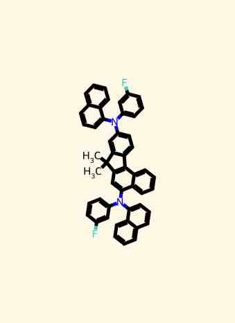 CC1(C)c2cc(N(c3cccc(F)c3)c3cccc4ccccc34)ccc2-c2c1cc(N(c1cccc(F)c1)c1cccc3ccccc13)c1ccccc21